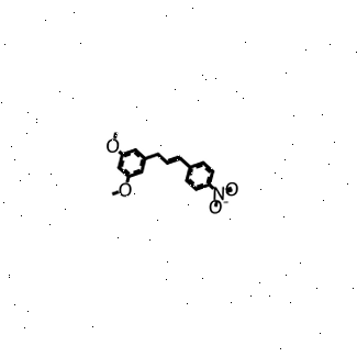 COc1cc(C/C=C/c2ccc([N+](=O)[O-])cc2)cc(OC)c1